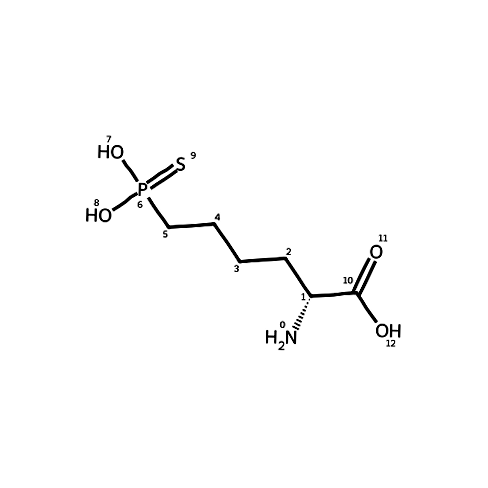 N[C@H](CCCCP(O)(O)=S)C(=O)O